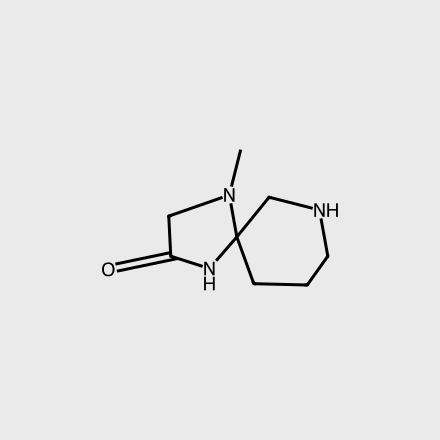 CN1CC(=O)NC12CCCNC2